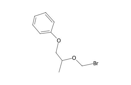 CC(COc1ccccc1)OCBr